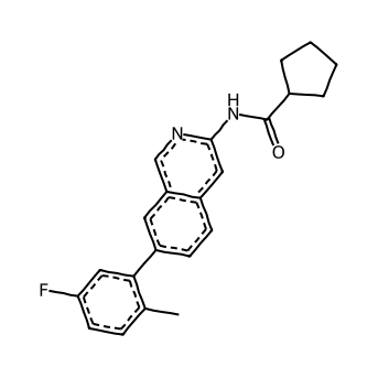 Cc1ccc(F)cc1-c1ccc2cc(NC(=O)C3CCCC3)ncc2c1